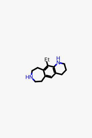 CCc1c2c(cc3c1NCCC3)CCNCC2